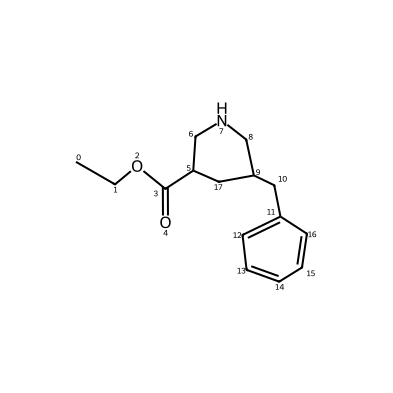 CCOC(=O)C1CNCC(Cc2ccccc2)C1